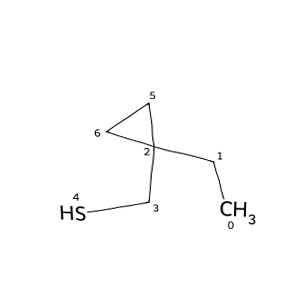 CCC1(CS)CC1